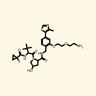 Cc1ncsc1-c1ccc(CNC(=O)C2CC(O)CN2C(=O)C(NC(=O)C2(F)CC2)C(C)(C)C)c(OCCOCCN)c1